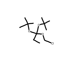 CCC(OCCl)(OC(C)(C)C)OC(C)(C)C